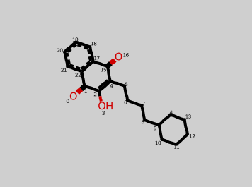 O=C1C(O)=C(CCCCC2CCCCC2)C(=O)c2ccccc21